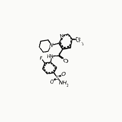 NS(=O)(=O)c1ccc(F)c(NC(=O)c2cc(C(F)(F)F)cnc2N2CCCCC2)c1